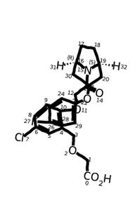 O=C(O)COCc1cc(Cl)ccc1OCC(=O)N1[C@@H]2CC[C@H]1CC(Oc1ccc(F)cc1)C2